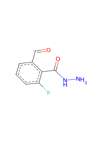 NNC(=O)c1c(F)cccc1[C]=O